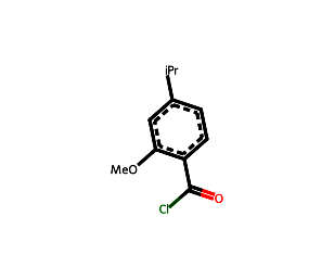 COc1cc(C(C)C)ccc1C(=O)Cl